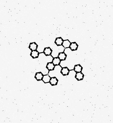 c1cc(-c2cccc3ccccc23)cc(-c2c3ccc(N4c5ccccc5Cc5ccccc54)cc3c(-c3cccc(-c4cccc5ccccc45)c3)c3ccc(N4c5ccccc5Cc5ccccc54)cc23)c1